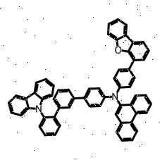 c1cc(-c2ccc(N(c3ccc(-c4cccc5c4oc4ccccc45)cc3)c3cc4ccccc4c4ccccc34)cc2)cc(-c2ccccc2-n2c3ccccc3c3ccccc32)c1